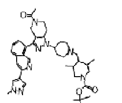 CC(=O)N1CCc2c(c(-c3cccc4cc(-c5cnn(C)c5)ncc34)nn2C2CCN(CC3C(C)CN(C(=O)OC(C)(C)C)CC3C)CC2)C1